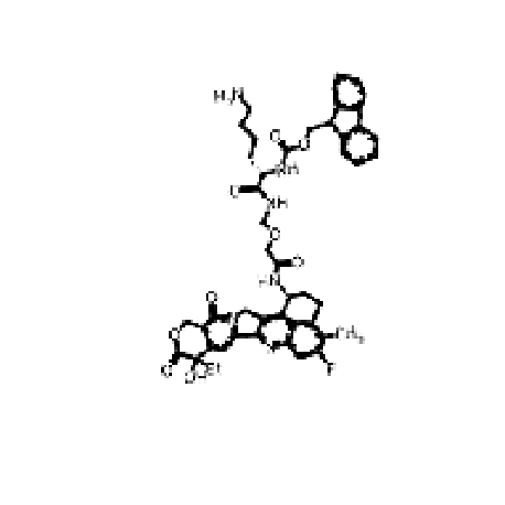 CC[C@@]1(O)C(=O)OCc2c1cc1n(c2=O)Cc2c-1nc1cc(F)c(C)c3c1c2[C@@H](NC(=O)COCNC(=O)[C@H](CCCCN)NC(=O)OCC1c2ccccc2-c2ccccc21)CC3